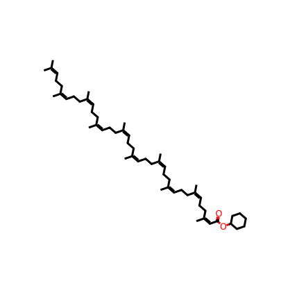 CC(C)=CCCC(C)=CCCC(C)=CCCC(C)=CCCC(C)=CCCC(C)=CCCC(C)=CCCC(C)=CCCC(C)=CCCC(C)=CC(=O)OC1CCCCC1